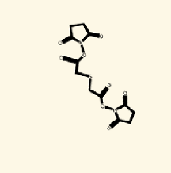 O=C(CSCC(=O)ON1C(=O)CCC1=O)ON1C(=O)CCC1=O